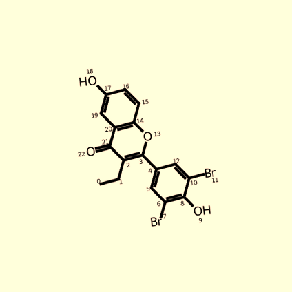 CCc1c(-c2cc(Br)c(O)c(Br)c2)oc2ccc(O)cc2c1=O